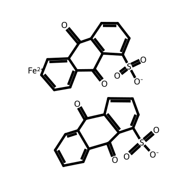 O=C1c2ccccc2C(=O)c2c1cccc2S(=O)(=O)[O-].O=C1c2ccccc2C(=O)c2c1cccc2S(=O)(=O)[O-].[Fe+2]